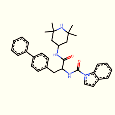 CC1(C)CC(NC(=O)C(Cc2ccc(-c3ccccc3)cc2)NC(=O)n2ccc3ccccc32)CC(C)(C)N1